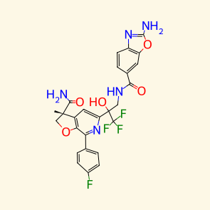 C[C@]1(C(N)=O)COc2c1cc(C(O)(CNC(=O)c1ccc3nc(N)oc3c1)C(F)(F)F)nc2-c1ccc(F)cc1